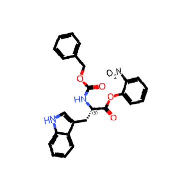 O=C(N[C@@H](Cc1c[nH]c2ccccc12)C(=O)Oc1ccccc1[N+](=O)[O-])OCc1ccccc1